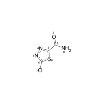 NC(=O)c1nnc(Cl)s1